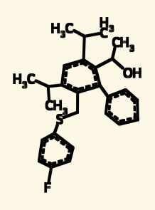 CC(C)c1cc(C(C)C)c(C(C)O)c(-c2ccccc2)c1CSc1ccc(F)cc1